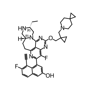 C#Cc1c(F)ccc2cc(O)cc(-c3nc4c5c(nc(OCC6(CN7CCC8(CC7)CC8)CC6)nc5c3F)N3C[C@@H](CC)NC[C@H]3CC4)c12